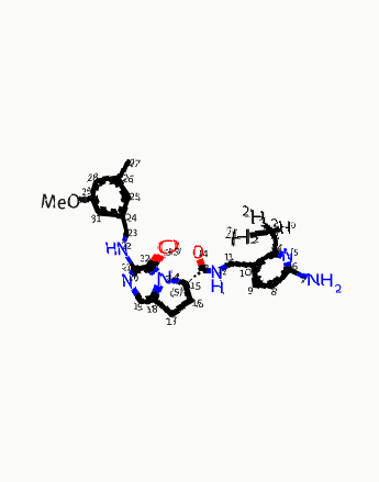 [2H]C([2H])([2H])c1nc(N)ccc1CNC(=O)[C@@H]1CCc2cnc(NCc3cc(C)cc(OC)c3)c(=O)n21